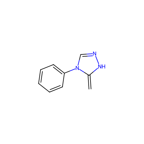 C=C1NN=CN1c1ccccc1